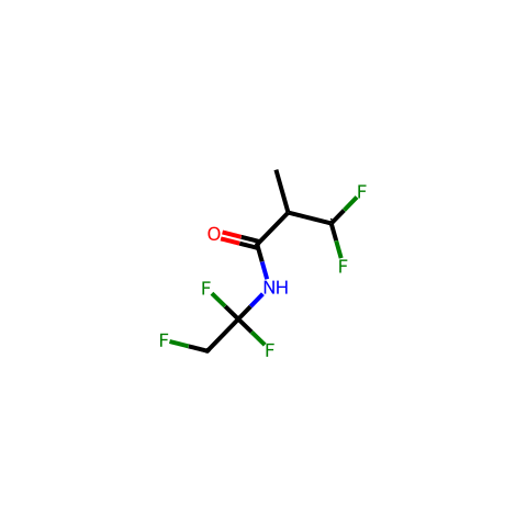 CC([C](F)F)C(=O)NC(F)(F)CF